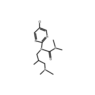 CC(CN(C)C)CN(C(=O)N(C)C)c1ncc(Cl)cn1